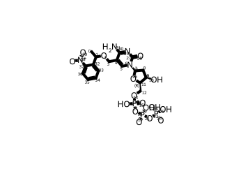 CC(OCc1cn([C@H]2C[C@@H](O)[C@@H](COP(=O)(O)OP(=O)(O)OP(=O)(O)O)O2)c(=O)nc1N)c1ccccc1[N+](=O)[O-]